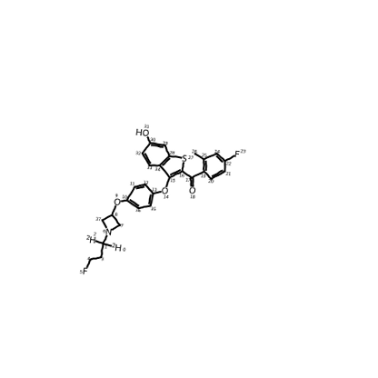 [2H]C([2H])(CCF)N1CC(Oc2ccc(Oc3c(C(=O)c4ccc(F)cc4C)sc4cc(O)ccc34)cc2)C1